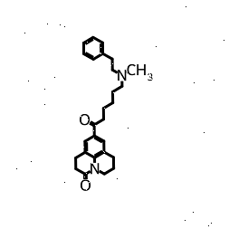 CN(CCCCCC(=O)c1cc2c3c(c1)CCC(=O)N3CCC2)CCc1ccccc1